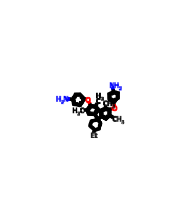 CCC1CCC(c2cc(C)c(Oc3ccc(N)cc3)c(C)c2)(c2cc(C)c(Oc3ccc(N)cc3)c(C)c2)CC1